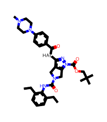 CCc1cccc(CC)c1NC(=O)N1Cc2c([AsH]C(=O)c3ccc(N4CCN(C)CC4)cc3)nn(C(=O)OCC(C)(C)C)c2C1